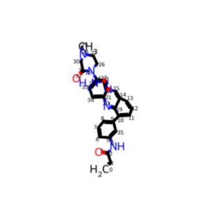 C=CC(=O)Nc1cccc(C2=CC=CC(=C/N=C/N)/C2=N\c2ccc(N3CCN(C)CC3=O)cc2)c1